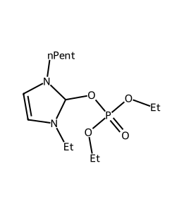 CCCCCN1C=CN(CC)C1OP(=O)(OCC)OCC